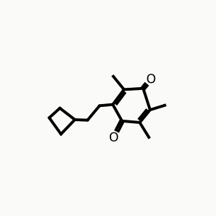 CC1=C(C)C(=O)C(CCC2CCC2)=C(C)C1=O